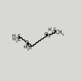 CC(C)CCCCOC(=O)CCCCCCCCCCCC(C)CC(=O)OCCCCC(C)C